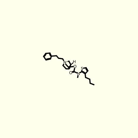 CCCCc1ccsc1N(C)C(=O)O[C@H]1C[N+]2(CCCc3ccccc3)CCC1CC2